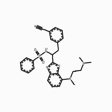 CN(C)CCN(C)c1cccc2nc(C(Cc3cccc(C#N)c3)NS(=O)(=O)c3ccccc3)sc12